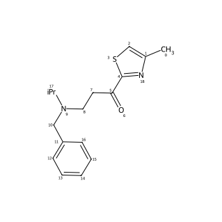 Cc1csc(C(=O)CCN(Cc2ccccc2)C(C)C)n1